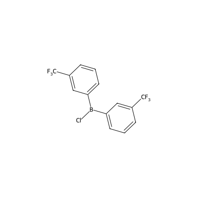 FC(F)(F)c1cccc(B(Cl)c2cccc(C(F)(F)F)c2)c1